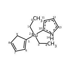 C[CH2][Ru]([CH2]C)([C]1=CC=CC1)[c]1ccc[nH]1